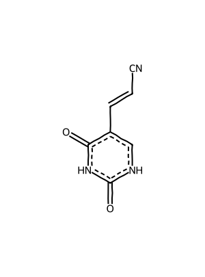 N#C/C=C/c1c[nH]c(=O)[nH]c1=O